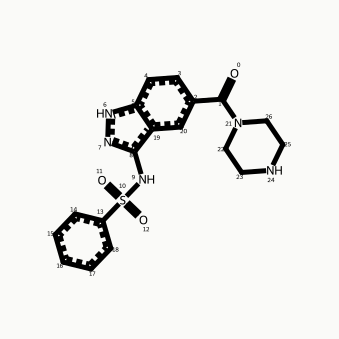 O=C(c1ccc2[nH]nc(NS(=O)(=O)c3ccccc3)c2c1)N1CCNCC1